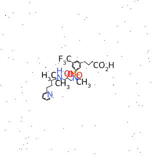 CN(C[C@H](O)CNC(C)(C)CCCc1ccccn1)S(=O)(=O)c1cc(CCCC(=O)O)cc(C(F)(F)F)c1